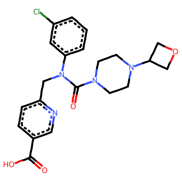 O=C(O)c1ccc(CN(C(=O)N2CCN(C3COC3)CC2)c2cccc(Cl)c2)nc1